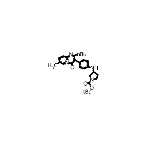 CCCCc1nc2ccc(C)cn2c(=O)c1-c1ccc(NC2CCN(C(=O)OC(C)(C)C)C2)cc1